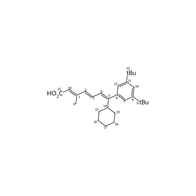 CC(/C=C/C=C(/c1cc(C(C)(C)C)cc(C(C)(C)C)c1)C1CCCCC1)=C\C(=O)O